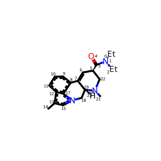 CCN(CC)C(=O)[C@@H]1C=C2c3cccc4c(C)cn(c34)C[C@H]2N(C)C1